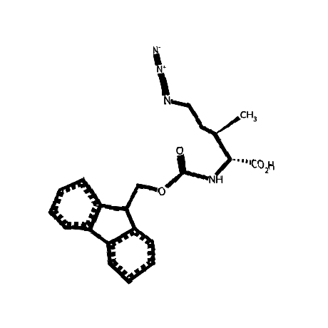 C[C@H](CCN=[N+]=[N-])[C@@H](NC(=O)OCC1c2ccccc2-c2ccccc21)C(=O)O